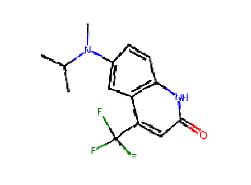 CC(C)N(C)c1ccc2[nH]c(=O)cc(C(F)(F)F)c2c1